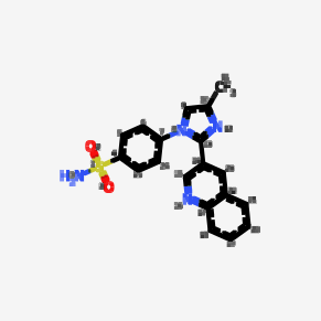 NS(=O)(=O)c1ccc(-n2cc(C(F)(F)F)nc2-c2cnc3ccccc3c2)cc1